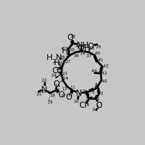 COc1cc2cc(c1Cl)N(C)C(=O)C[C@H](OC(=O)[C@H](C)N(C)C)[C@]1(C)O[C@H]1[C@H](N)[C@H]1CC(=O)N[C@](O)(C1)[C@H](OC)/C=C/C=C(\C)C2